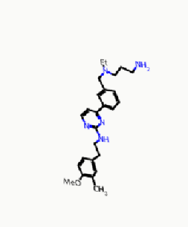 CCN(CCCN)Cc1cccc(-c2ccnc(NCCc3ccc(OC)c(C)c3)n2)c1